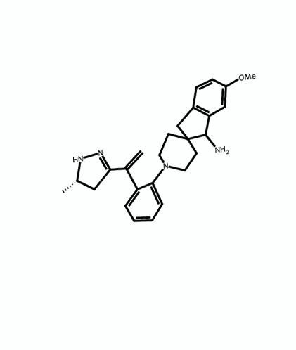 C=C(C1=NN[C@@H](C)C1)c1ccccc1N1CCC2(CC1)Cc1ccc(OC)cc1C2N